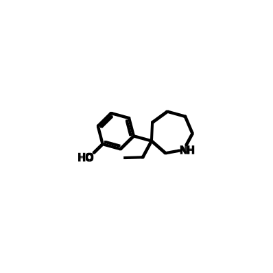 CCC1(c2cccc(O)c2)CCCCNC1